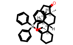 C[C@]12CC[C@H]3[C@@H](CC=C4CCCC[C@@]43CO[Si](c3ccccc3)(c3ccccc3)c3ccccc3)[C@@H]1CCC2=O